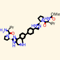 COC(=O)N[C@H](C(=O)N1CCC[C@H]1c1ncc(-c2ccc(-c3ccc4c(c3)CNCc3[nH]c([C@@H]5CCCN5C(=O)[C@@H](N)C(C)C)nc3-4)cc2)[nH]1)C(C)C